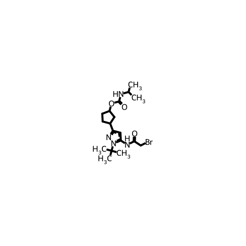 CC(C)NC(=O)OC1CCC(c2cc(NC(=O)CBr)n(C(C)(C)C)n2)C1